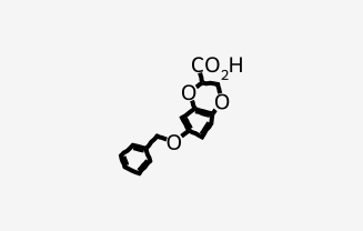 O=C(O)C1COc2ccc(OCc3ccccc3)cc2O1